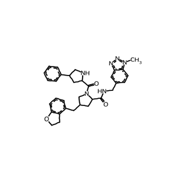 Cn1nnc2cc(CNC(=O)C3CC(Cc4cccc5c4CCO5)CN3C(=O)C3CC(c4ccccc4)CN3)ccc21